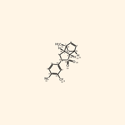 C[C@@]12C=C[C@@H](O1)[C@H]1[C@@H]2CN(c2ccc(C#N)c(C(F)(F)F)c2)S1(=O)=O